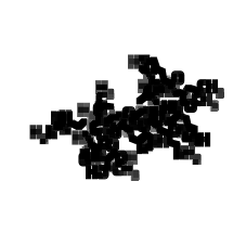 CC(C)C[C@H](NC(=O)[C@H](Cc1c[nH]cn1)NC(=O)[C@H](Cc1c[nH]cn1)NC(=O)[C@H](CCCCN)NC(=O)[C@H](Cc1c[nH]cn1)NC(=O)[C@H](CC(C)C)NC(=O)[C@@H](N)Cc1c[nH]cn1)C(=O)N[C@@H](CCCNC(=N)N)C(=O)N[C@@H](CO)C(=O)N[C@H](C(=O)O)[C@@H](C)O